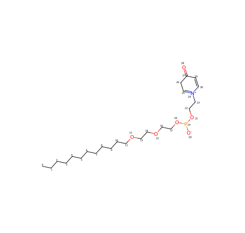 CCCCCCCCCCCCOCCOCCOP([O-])OCC[N+]1=CCC(=O)C=C1